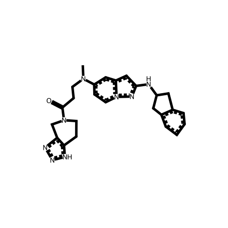 CN(CCC(=O)N1CCc2[nH]nnc2C1)c1ccn2nc(NC3Cc4ccccc4C3)cc2c1